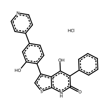 Cl.O=c1[nH]c2scc(-c3ccc(-c4ccncc4)cc3O)c2c(O)c1-c1ccccc1